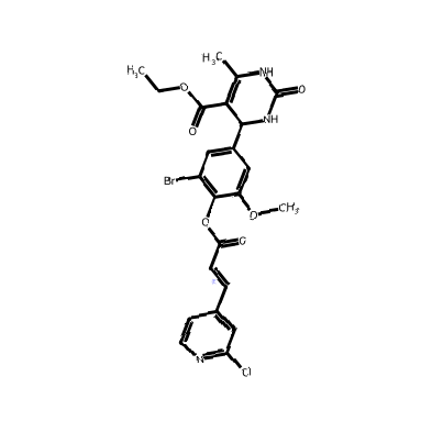 CCOC(=O)C1=C(C)NC(=O)NC1c1cc(Br)c(OC(=O)/C=C/c2ccnc(Cl)c2)c(OC)c1